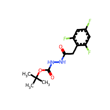 CC(C)(C)OC(=O)NNC(=O)Cc1c(F)cc(F)cc1F